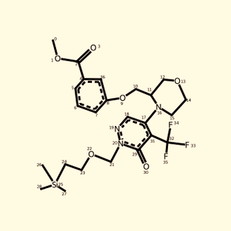 COC(=O)c1cccc(OCC2COCCN2c2cnn(COCC[Si](C)(C)C)c(=O)c2C(F)(F)F)c1